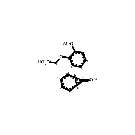 COc1ccccc1OCC(=O)O.O=c1c2ccccc12